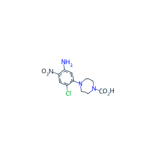 Nc1cc(N2CCN(C(=O)O)CC2)c(Cl)cc1[N+](=O)[O-]